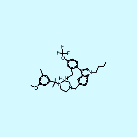 CCCCn1cc(-c2ccc(OC(F)(F)F)cc2CN)c2cc(CN3CCN(C(C)(C)c4cc(C)cc(OC)c4)CC3)ccc21